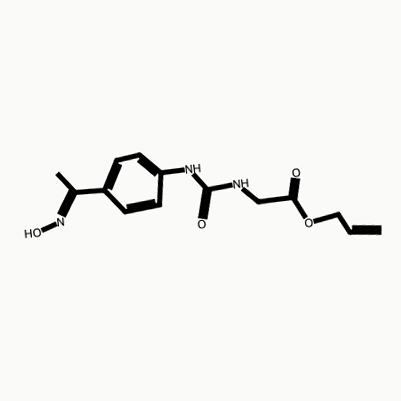 C=CCOC(=O)CNC(=O)Nc1ccc(C(C)=NO)cc1